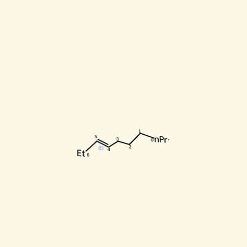 C[CH][CH]CCC/C=C/CC